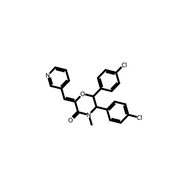 CN1C(=O)C(=Cc2cccnc2)OC(c2ccc(Cl)cc2)C1c1ccc(Cl)cc1